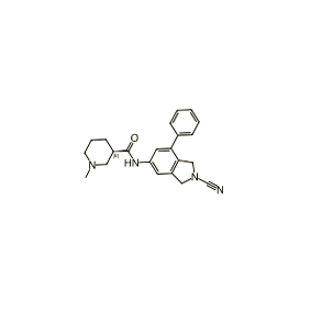 CN1CCC[C@@H](C(=O)Nc2cc3c(c(-c4ccccc4)c2)CN(C#N)C3)C1